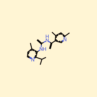 C=C(NC(=C)c1cnc(C)cc1C)Nc1c(C)ccnc1C(C)C